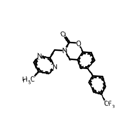 Cc1cnc(CN2Cc3cc(-c4ccc(C(F)(F)F)cc4)ccc3OC2=O)nc1